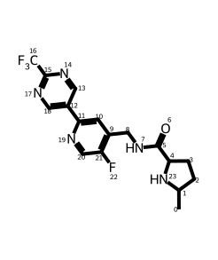 CC1CCC(C(=O)NCc2cc(-c3cnc(C(F)(F)F)nc3)ncc2F)N1